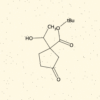 CC(O)C1(C(=O)OC(C)(C)C)CCC(=O)C1